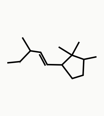 C[CH]C(C)C=CC1CCC(C)C1(C)C